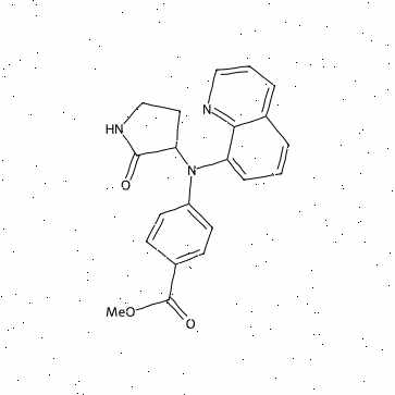 COC(=O)c1ccc(N(c2cccc3cccnc23)C2CCNC2=O)cc1